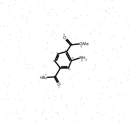 CCCCC(=O)c1ccc(C(=O)OC)c(N)c1